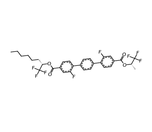 CCCCCC[C@H](OC(=O)c1ccc(-c2ccc(-c3ccc(C(=O)O[C@@H](C)C(F)(F)F)cc3F)cc2)c(F)c1)C(F)(F)F